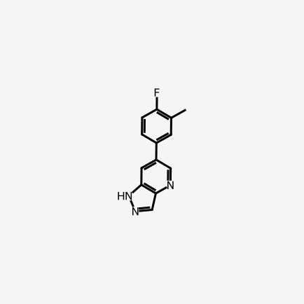 Cc1cc(-c2cnc3cn[nH]c3c2)ccc1F